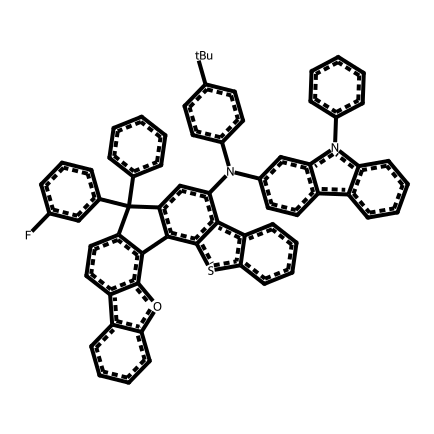 CC(C)(C)c1ccc(N(c2ccc3c4ccccc4n(-c4ccccc4)c3c2)c2cc3c(c4sc5ccccc5c24)-c2c(ccc4c2oc2ccccc24)C3(c2ccccc2)c2cccc(F)c2)cc1